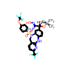 CC(O[Si](C)(C)C)(/C(N)=N/O)c1ccc2c(c1)N(S(=O)(=O)c1ccc(OC(F)(F)F)cc1)Cc1ccc(C(F)(F)F)nc1N2